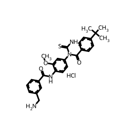 COc1cc(N(C(=O)c2ccc(C(C)(C)C)cc2)C(N)=S)ccc1NC(=O)c1cccc(CN)c1.Cl